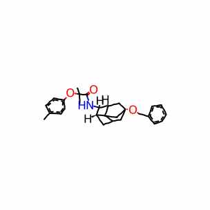 Cc1ccc(OC(C)(C)C(=O)N[C@@H]2[C@@H]3CC4C[C@H]2C[C@](OCc2ccccc2)(C4)C3)cc1